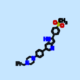 CC(C)CN1CCN(c2ccc(-c3cnc4cc(-c5ccc(S(C)(=O)=O)cc5)[nH]c4c3)cc2)CC1